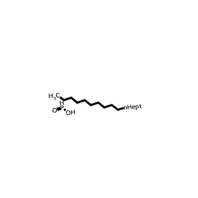 CCCCCCCCCCCCCCCC(C)[PH](=O)O